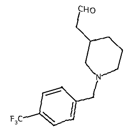 O=CCC1CCCN(Cc2ccc(C(F)(F)F)cc2)C1